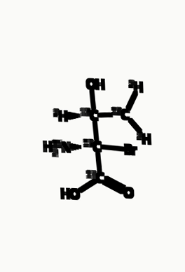 [2H][13CH]([2H])[13C@@]([2H])(O)[13C@@]([15NH2])(Br)[13C](=O)O